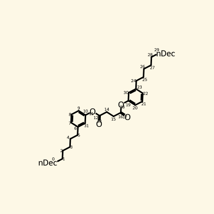 CCCCCCCCCCCCCCCc1cccc(OC(=O)CCC(=O)Oc2cccc(CCCCCCCCCCCCCCC)c2)c1